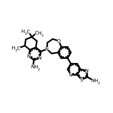 CC1CC(C)(C)Cc2c1nc(N)nc2N1CCOc2ccc(-c3cnc4sc(N)nc4c3)cc2C1